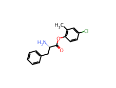 Cc1cc(Cl)ccc1OC(=O)[C@@H](N)Cc1ccccc1